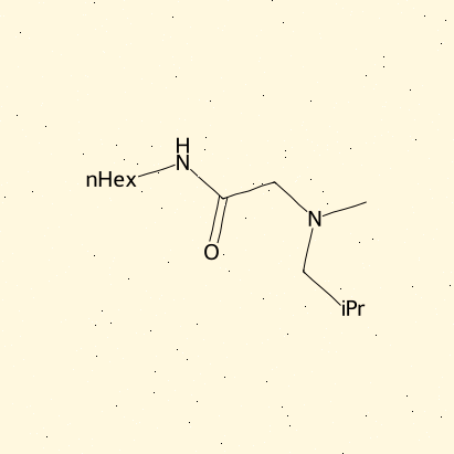 CCCCCCNC(=O)CN(C)CC(C)C